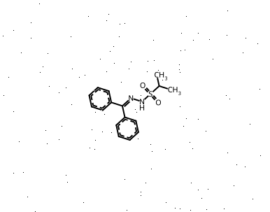 CC(C)S(=O)(=O)NN=C(c1ccccc1)c1ccccc1